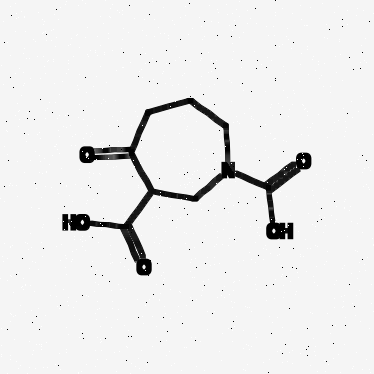 O=C(O)C1CN(C(=O)O)CCCC1=O